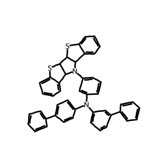 c1ccc(-c2ccc(N(c3cccc(-c4ccccc4)c3)c3cccc(N4C5c6ccccc6SC5C5Sc6ccccc6C54)c3)cc2)cc1